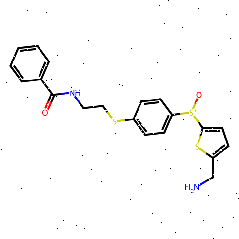 NCc1ccc([S+]([O-])c2ccc(SCCNC(=O)c3ccccc3)cc2)s1